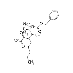 CCCCCC(C(=O)C(=O)[O-])C(O)[C@@H](C)NC(=O)OCc1ccccc1.[Na+]